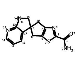 NC(=O)c1nc2c(s1)CC1(CNc3ncccc31)C2